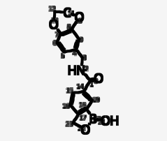 O=C(NCc1ccc2c(c1)OCCO2)c1ccc2c(c1)B(O)OC2